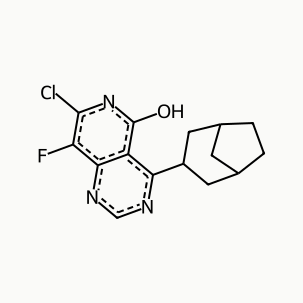 Oc1nc(Cl)c(F)c2ncnc(C3CC4CCC(C4)C3)c12